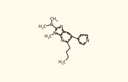 CCCCc1nc2c(cc1-c1ccncc1)nc(N(C)C)n2C